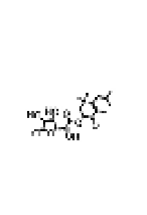 CC(C)=CC1=C(C)C(=O)C(OC(=O)[C@H](O)[C@H]2OC(=O)C(O)=C2O)CC1(C)C